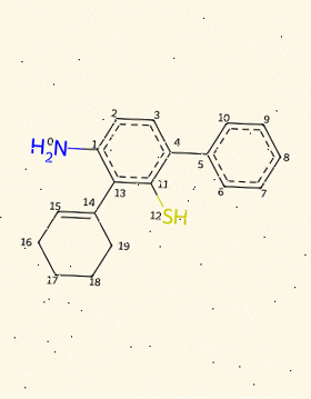 Nc1ccc(-c2ccccc2)c(S)c1C1=CCCCC1